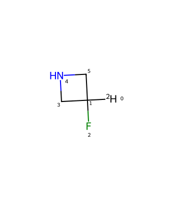 [2H]C1(F)CNC1